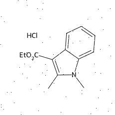 CCOC(=O)c1c(C)n(C)c2ccccc12.Cl